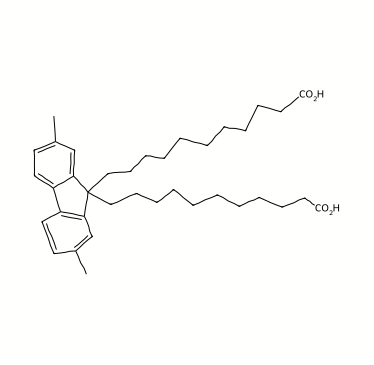 Cc1ccc2c(c1)C(CCCCCCCCCCC(=O)O)(CCCCCCCCCCC(=O)O)c1cc(C)ccc1-2